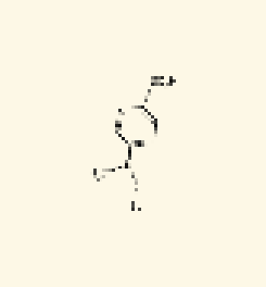 CCSN(C)c1ccc(S(=O)(=O)O)cc1